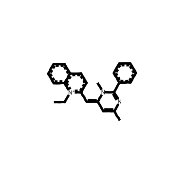 CC[n+]1c(/C=C2/C=C(C)N=C(c3ccccc3)N2C)ccc2ccccc21